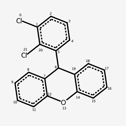 Clc1cccc(C2c3ccccc3Oc3ccccc32)c1Cl